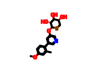 COc1ccc(-c2cncc(O[C@H]3SC[C@@H](O)[C@H](O)[C@H]3O)c2)c(C)c1